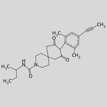 CC#Cc1cc(C)c(C2C(=O)CC3(CCN(C(=O)NC(C)CC)CC3)CC2=O)c(C)c1